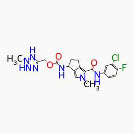 CN1NN=C(COC(=O)NC2CCc3c2cn(C)c3C(=O)Nc2ccc(F)c(Cl)c2)N1